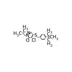 CC(C)Cn1ncc(SCc2ccc(C(C)(C)C)cc2)c(Cl)c1=O